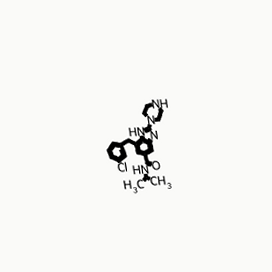 CC(C)NC(=O)c1cc(Cc2cccc(Cl)c2)c2[nH]c(N3CCNCC3)nc2c1